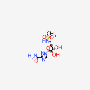 CS(=O)(=O)NC[C@H]1O[C@@H](n2cnc(C(N)=O)n2)[C@H](O)[C@@H]1O